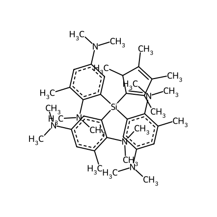 CC1=C(C)C(C)C([Si](c2cc(N(C)C)cc(C)c2N(C)C)(c2cc(N(C)C)cc(C)c2N(C)C)c2cc(N(C)C)cc(C)c2N(C)C)=C1C